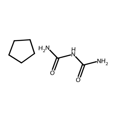 C1CCCC1.NC(=O)NC(N)=O